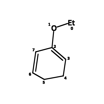 CCOC1=CCCC=C1